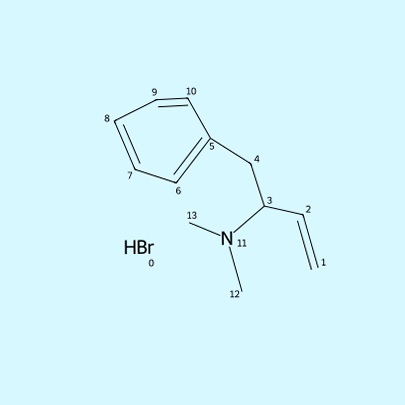 Br.C=CC(Cc1ccccc1)N(C)C